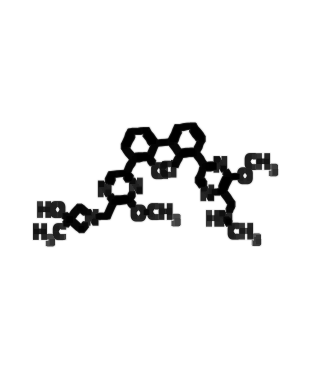 CNCc1ncc(-c2cccc(-c3cccc(-c4cnc(CN5CC(C)(O)C5)c(OC)n4)c3Cl)c2Cl)nc1OC